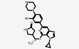 C[C@@H](Oc1nc(-c2ccc(N3CCNCC3)c(C#N)c2)cc2ncn(C3CC3)c12)C1CNC(=O)C1